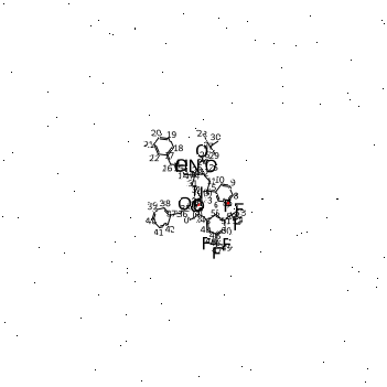 C[C@@H](OC[C@@]1(c2ccccc2)CC[C@@](COCc2ccccc2)(NC(=O)OC(C)(C)C)CN1C(=O)OCc1ccccc1)c1cc(C(F)(F)F)cc(C(F)(F)F)c1